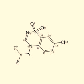 O=S1(=O)N=CN(CC(F)F)c2ccc(Cl)cc21